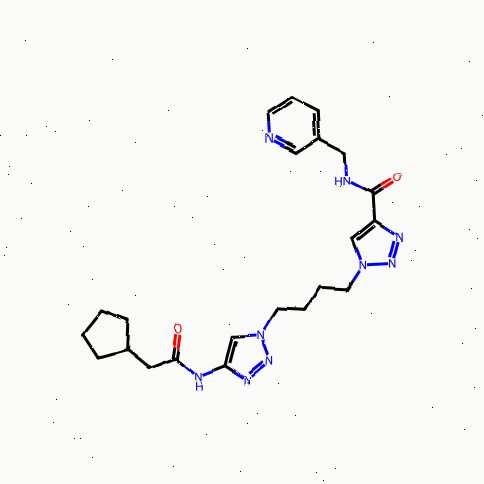 O=C(CC1CCCC1)Nc1cn(CCCCn2cc(C(=O)NCc3cccnc3)nn2)nn1